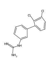 N=C(N)Nc1cccc(-c2cccc(Cl)c2Cl)c1